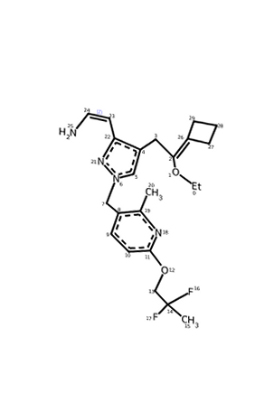 CCOC(Cc1cn(Cc2ccc(OCC(C)(F)F)nc2C)nc1/C=C\N)=C1CCC1